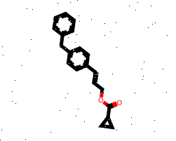 O=C(OCC=Cc1ccc(Cc2ccccc2)cc1)C1CC1